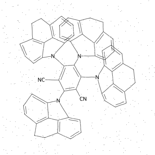 N#Cc1c(-n2c3cccc4c3c3c(cccc32)CC4)c(C#N)c(-n2c3cccc4c3c3c(cccc32)CC4)c(-n2c3cccc4c3c3c(cccc32)CC4)c1-n1c2cccc3c2c2c(cccc21)CC3